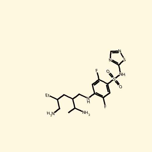 CCC(CN)CC(CNc1cc(F)c(S(=O)(=O)Nc2ncns2)cc1F)C(C)N